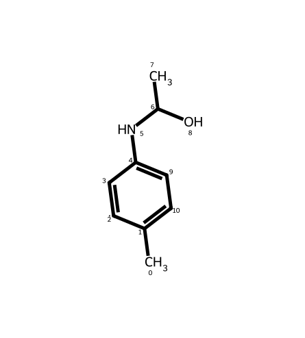 Cc1[c]cc(NC(C)O)cc1